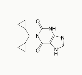 O=c1[nH]c2nc[nH]c2c(=O)n1C(C1CC1)C1CC1